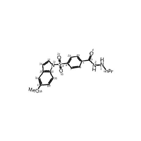 CCCNNC(=O)c1ccc(S(=O)(=O)n2ccc3cc(OC)ccc32)cc1